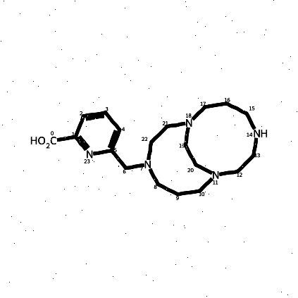 O=C(O)c1cccc(CN2CCCN3CCNCCCN(CC3)CC2)n1